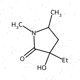 CCC1(O)CC(C)N(C)C1=O